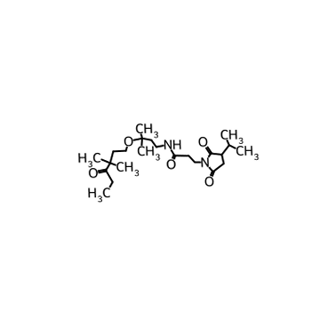 CCC(=O)C(C)(C)CCOC(C)(C)CCNC(=O)CCN1C(=O)CC(C(C)C)C1=O